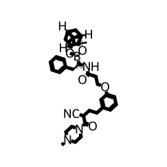 CN1CCN(C(=O)C(C#N)CCc2cccc(OCCC(=O)N[C@@H](Cc3ccccc3)B3O[C@@H]4C[C@@H]5C[C@@H](C5(C)C)[C@]4(C)O3)c2)CC1